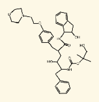 CC(C)(CO)OC(=O)NC(Cc1ccccc1)C(O)CC(Cc1ccc(OCCN2CCOCC2)cc1)C(=O)NC1c2ccccc2CC1O